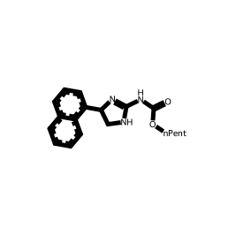 CCCCCOC(=O)NC1=NC(c2cccc3ccccc23)CN1